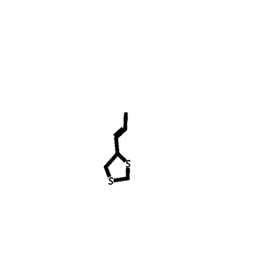 CC=CC1CSCS1